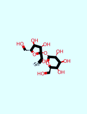 OC[C@H]1O[C@](O[C@H]2O[C@H](CO)[C@@H](O)[C@H](O)[C@H]2O)([C](O)=[Sn])[C@@H](O)[C@@H]1O